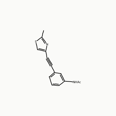 CC(=O)Nc1cccc(C#Cc2csc(C)n2)c1